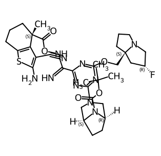 CC(C)(C)OC(=O)N1[C@@H]2CC[C@H]1CN(c1nc(OC[C@@]34CCCN3C[C@H](F)C4)nc(C(=N)NOC(=O)[C@@]3(C)CCCc4sc(N)c(C#N)c43)n1)C2